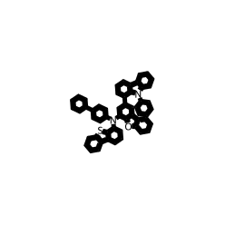 c1ccc(-c2ccc(N(c3cc(-c4cccc5c6ccccc6n(-c6ccccc6)c45)cc4c3oc3ccccc34)c3cccc4c3sc3ccccc34)cc2)cc1